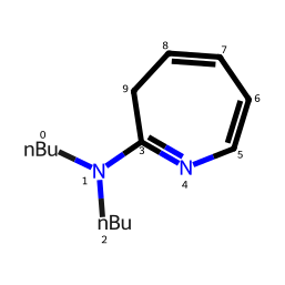 CCCCN(CCCC)C1=NC=CC=CC1